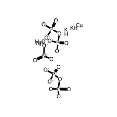 N.O.O=P([O-])([O-])OP(=O)([O-])[O-].O=P([O-])([O-])OP(=O)([O-])[O-].O=[N+]([O-])[O-].[Cu].[KH].[KH]